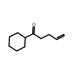 C=CCCC(=O)C1CCCCC1